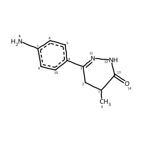 CC1CC(c2ccc(N)cc2)=NNC1=O